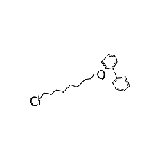 ClCCCCCCCCCOc1ccccc1-c1ccccc1